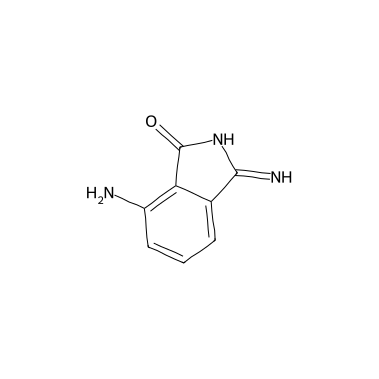 N=C1NC(=O)c2c(N)cccc21